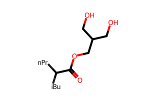 CCCC(C(=O)OCC(CO)CO)C(C)CC